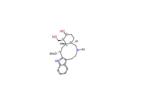 CO[C@@H]1C[C@H]2[C@@H](CC[C@H](O)[C@@H]2CO)CN(C(C)=O)CCc2c1[nH]c1ccccc21